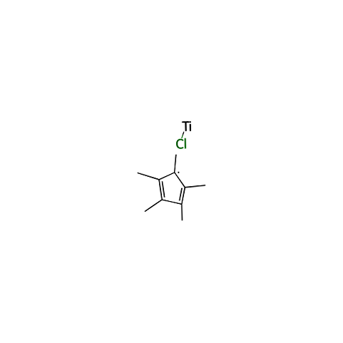 C[C]1C(C)=C(C)C(C)=C1C.[Cl][Ti]